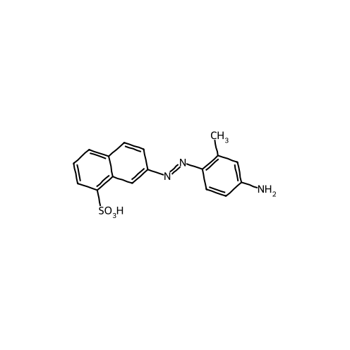 Cc1cc(N)ccc1/N=N/c1ccc2cccc(S(=O)(=O)O)c2c1